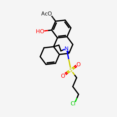 CC(=O)Oc1ccc2c(c1O)C13CCC=CC1C(C2)N(S(=O)(=O)CCCCl)CC3